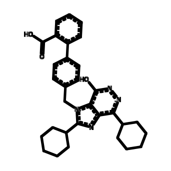 O=C(O)c1ccccc1-c1ccc(Cn2c(C3CCCCC3)nc3c(C4CCCCC4)nnc(O)c32)cc1